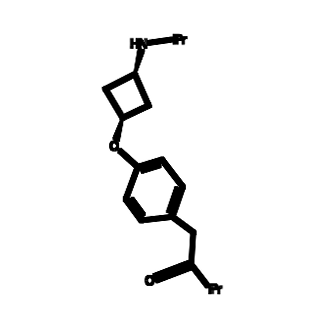 CC(C)N[C@H]1C[C@@H](Oc2ccc(CC(=O)C(C)C)cc2)C1